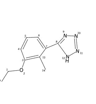 CCOc1c[c]cc(-c2nnn[nH]2)c1C